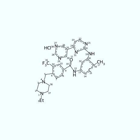 CCN1CCN(Cc2ccc(C(=O)Nc3ccc(C)c(Nc4nccc(-c5cncnc5)n4)c3)cc2C(F)(F)F)CC1.Cl